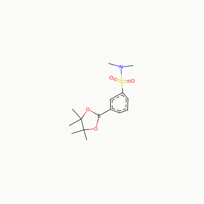 CN(C)S(=O)(=O)c1cccc(B2OC(C)(C)C(C)(C)O2)c1